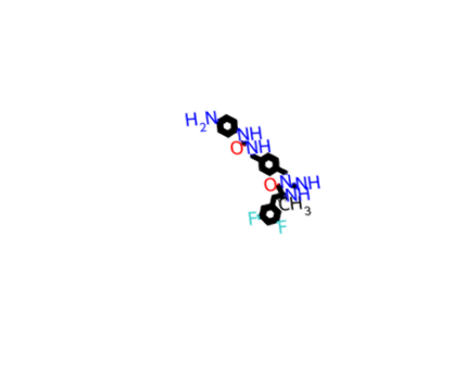 C[C@]1(Cc2cc(F)cc(F)c2)NC(=N)N(Cc2ccc(CNC(=O)Nc3ccc(N)cc3)cc2)C1=O